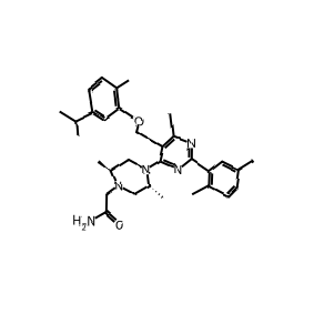 Cc1ccc(C)c(-c2nc(C)c(COc3cc(C(C)C)ccc3C)c(N3C[C@H](C)N(CC(N)=O)C[C@H]3C)n2)c1